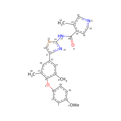 COc1ccc(Oc2c(C)cc(-c3csc(NC(=O)c4ccncc4C)n3)cc2C)cc1